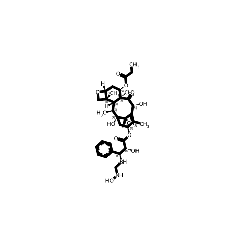 CCC(=O)O[C@H]1C[C@H]2OC[C@@]2(C)[C@H]2[C@H](C)[C@]3(O)C[C@H](OC(=O)[C@H](O)[C@@H](BCNO)c4ccccc4)C(C)=C([C@@H](O)C(=O)[C@]12C)C3(C)C